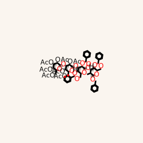 CC(=O)OCC1O[C@@H](O[C@@H]2C(OC(C)=O)[C@H](O[C@@H]3C(OC(=O)c4ccccc4)[C@H](O[C@@H]4C(C)[C@H](OCc5ccccc5)OC5COC(c6ccccc6)O[C@H]54)OC4COC(c5ccccc5)O[C@H]43)OC(COC(C)=O)[C@H]2OC(C)=O)C(OC(C)=O)[C@@H](OC(C)=O)[C@@H]1OC(C)=O